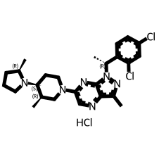 Cc1nn([C@H](C)c2ccc(Cl)cc2Cl)c2nc(N3CC[C@H](N4CCC[C@H]4C)[C@H](C)C3)cnc12.Cl